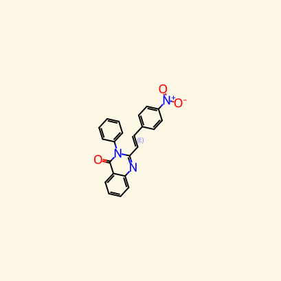 O=c1c2ccccc2nc(/C=C/c2ccc([N+](=O)[O-])cc2)n1-c1ccccc1